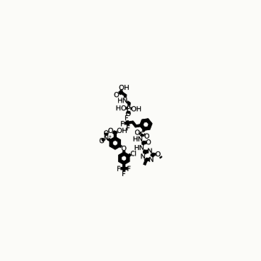 COc1nc(C)nc(NC(=O)NS(=O)(=O)c2ccccc2CCC(F)(F)F)n1.O=C(O)CNCP(=O)(O)O.O=C(O)c1cc(Oc2ccc(C(F)(F)F)cc2Cl)ccc1[N+](=O)[O-]